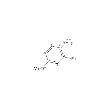 COc1ccc(C(F)(F)F)c(F)c1